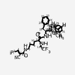 CC(C)C=C(C#N)C(=O)NCCCCC(NCC(F)(F)F)C(=O)N[C@@H](Cc1ccccc1)B1O[C@@H]2C[C@@H]3C[C@@H](C3(C)C)[C@]2(C)O1